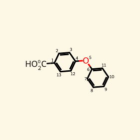 O=C(O)c1ccc(Oc2[c]cccc2)cc1